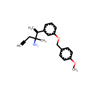 C#CCC(C)(N)C(=C)c1cccc(OCc2ccc(OC)cc2)c1